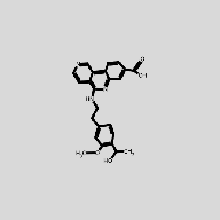 COc1cc(CCNc2nc3cc(C(=O)O)ccc3c3cnccc23)ccc1C(C)O